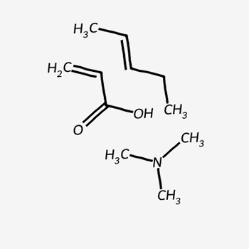 C=CC(=O)O.CC=CCC.CN(C)C